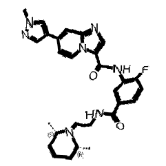 C[C@@H]1CCC[C@H](C)N1CCNC(=O)c1ccc(F)c(NC(=O)c2cnc3cc(-c4cnn(C)c4)ccn23)c1